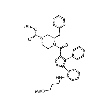 COCCCNc1ccccc1-n1ccc(C(=O)N2CCN(C(=O)OC(C)(C)C)C[C@H]2Cc2ccccc2)c1-c1ccccc1